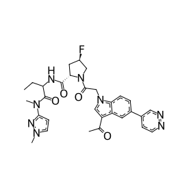 CCC(NC(=O)[C@@H]1C[C@@H](F)CN1C(=O)Cn1cc(C(C)=O)c2cc(-c3ccnnc3)ccc21)C(=O)N(C)c1ccn(C)n1